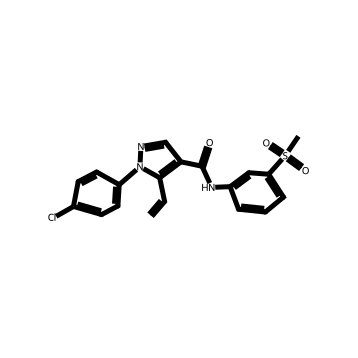 C=Cc1c(C(=O)Nc2cccc(S(C)(=O)=O)c2)cnn1-c1ccc(Cl)cc1